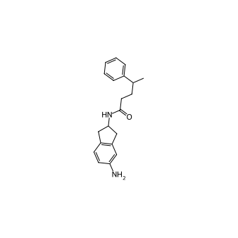 CC(CCC(=O)NC1Cc2ccc(N)cc2C1)c1ccccc1